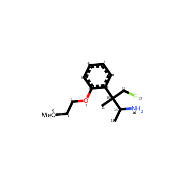 COCCOc1ccccc1C(C)(CF)C(C)N